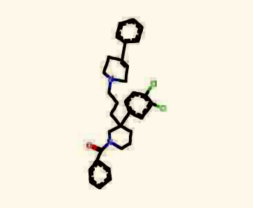 O=C(c1ccccc1)N1CCCC(CCCN2CC=C(c3ccccc3)CC2)(c2ccc(Cl)c(Cl)c2)C1